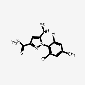 CCNc1cc(C(N)=S)nn1-c1c(Cl)cc(C(F)(F)F)cc1Cl